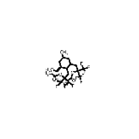 C/C=C1\CC(C)CC(CC(OC(C)=O)(C(F)(F)F)C(F)(F)F)C1CC(OC(C)=O)(C(F)(F)F)C(F)(F)F